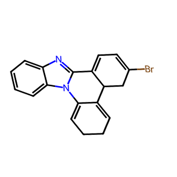 BrC1=CC=C2c3nc4ccccc4n3C3=CCCC=C3C2C1